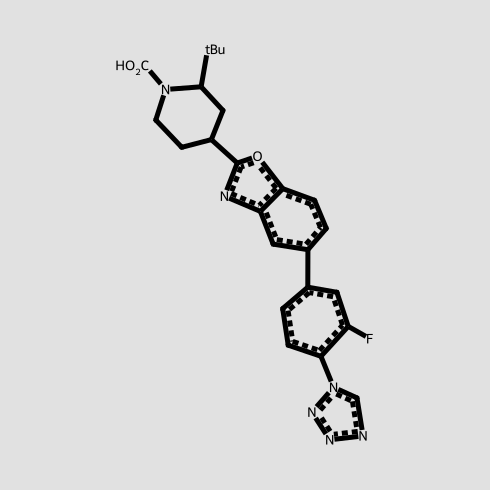 CC(C)(C)C1CC(c2nc3cc(-c4ccc(-n5cnnn5)c(F)c4)ccc3o2)CCN1C(=O)O